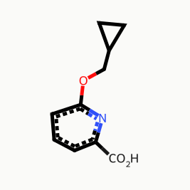 O=C(O)c1cccc(OCC2CC2)n1